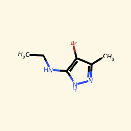 CCNc1[nH]nc(C)c1Br